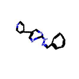 C(=N/Nc1ncc(-c2ccncc2)cn1)/c1ccccc1